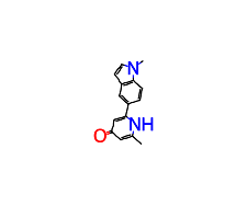 Cc1cc(=O)cc(-c2ccc3c(ccn3C)c2)[nH]1